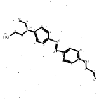 CCCOc1ccc(/N=N/c2ccc(N(CC)CCO)cc2)cc1